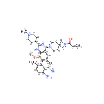 C=CC(=O)N1CC2(CCN(c3nc(C4CCN(C)CC4)nc4c(OCC)c(-c5c(C)ccc(N)c5C=N)c(CC)cc34)CC2)C1